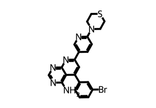 Nc1ncnc2nc(-c3ccc(N4CCSCC4)nc3)cc(-c3cccc(Br)c3)c12